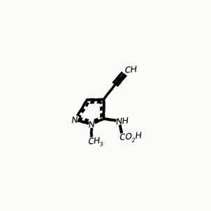 C#Cc1cnn(C)c1NC(=O)O